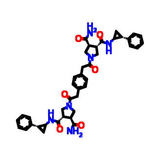 NC(=O)[C@@H]1CN(C(=O)Cc2ccc(CC(=O)N3C[C@@H](C(N)=O)[C@H](C(=O)N[C@H]4C[C@@H]4c4ccccc4)C3)cc2)C[C@H]1C(=O)N[C@H]1C[C@@H]1c1ccccc1